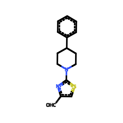 O=Cc1csc(N2CCC(c3ccccc3)CC2)n1